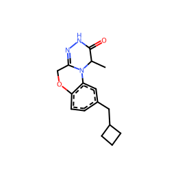 CC1C(=O)NN=C2COc3ccc(CC4CCC4)cc3N21